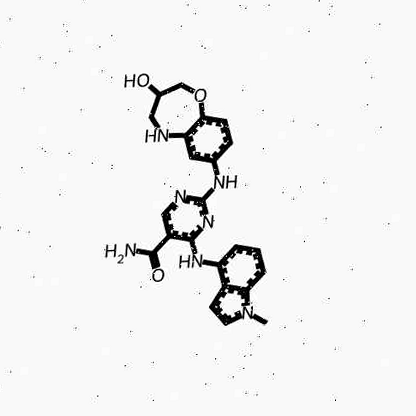 Cn1ccc2c(Nc3nc(Nc4ccc5c(c4)NCC(O)CO5)ncc3C(N)=O)cccc21